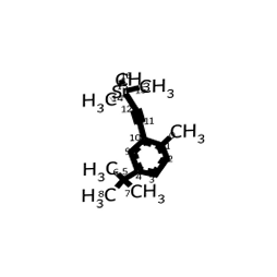 Cc1ccc(C(C)(C)C)cc1C#C[Si](C)(C)C